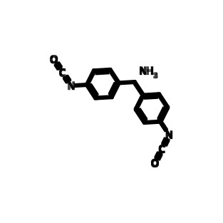 N.O=C=Nc1ccc(Cc2ccc(N=C=O)cc2)cc1